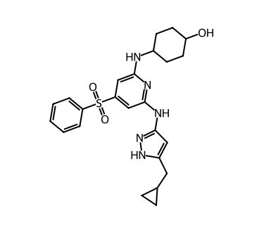 O=S(=O)(c1ccccc1)c1cc(Nc2cc(CC3CC3)[nH]n2)nc(NC2CCC(O)CC2)c1